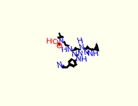 CC(C)(C)N(CCCNc1cc(Nc2cc(C3CC3)[nH]n2)nc(Nc2ccc(CC#N)cc2)n1)C(=O)O